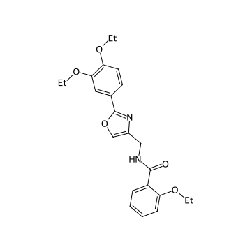 CCOc1ccc(-c2nc(CNC(=O)c3ccccc3OCC)co2)cc1OCC